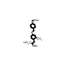 CCCCCCCCCCOc1ccc(C=Nc2ccc(C=C(CCCC)C(=O)O)c(C)c2)cc1